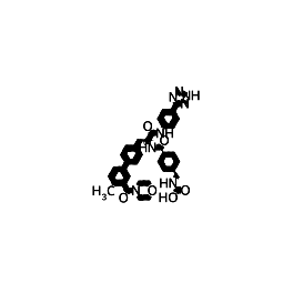 Cc1ccc(-c2ccc(C[C@H](NC(=O)[C@H]3CC[C@H](CNC(=O)O)CC3)C(=O)Nc3ccc(-c4nn[nH]n4)cc3)cc2)cc1C(=O)N1CCOCC1